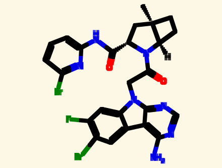 C[C@]12CC[C@H]1N(C(=O)Cn1c3cc(F)c(Br)cc3c3c(N)ncnc31)[C@H](C(=O)Nc1cccc(Br)n1)C2